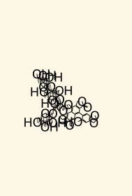 COc1cc2c(O[C@@H]3OC[C@](O)(CO[C@@H]4OC[C@@H](O)[C@H](O)[C@H]4O)[C@H]3O[C@@H]3OC[C@@H](O)[C@H](O[C@@H]4OC[C@](O)(CO)[C@H]4O)[C@H]3O)c3c(c(-c4cc5c(cc4O)OCO5)c2cc1OC)C(=O)OC3